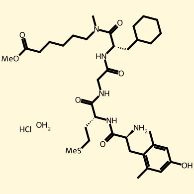 COC(=O)CCCCCN(C)C(=O)[C@H](CC1CCCCC1)NC(=O)CNC(=O)[C@@H](CCSC)NC(=O)[C@@H](N)Cc1c(C)cc(O)cc1C.Cl.O